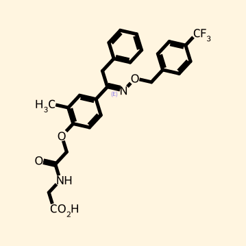 Cc1cc(/C(Cc2ccccc2)=N/OCc2ccc(C(F)(F)F)cc2)ccc1OCC(=O)NCC(=O)O